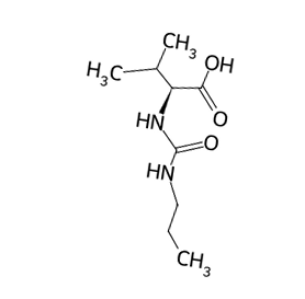 CCCNC(=O)N[C@H](C(=O)O)C(C)C